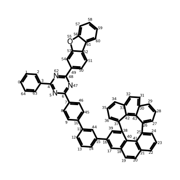 c1ccc(-c2nc(-c3ccc(-c4cccc(-c5cc6ccc7cccc8c9cccc%10ccc%11cccc(c(c5)c6c78)c%11c%109)c4)cc3)nc(-c3ccc4c(c3)oc3ccccc34)n2)cc1